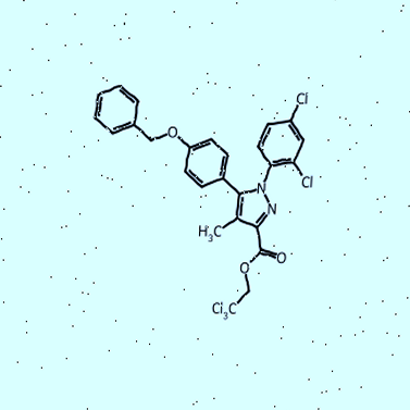 Cc1c(C(=O)OCC(Cl)(Cl)Cl)nn(-c2ccc(Cl)cc2Cl)c1-c1ccc(OCc2ccccc2)cc1